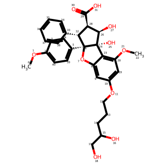 COc1ccc([C@@]23Oc4cc(OCCCC(O)CO)cc(OC)c4[C@]2(O)[C@H](O)[C@H](C(=O)O)[C@H]3c2ccccc2)cc1